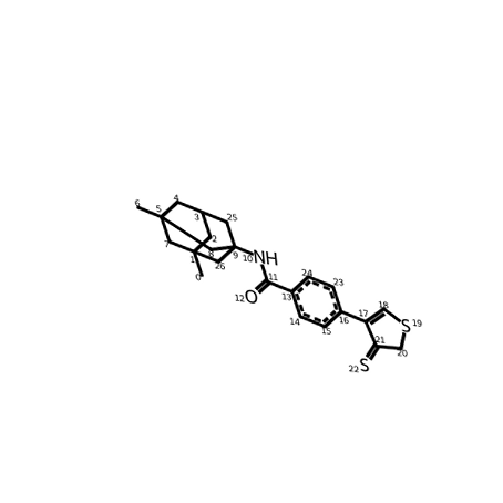 CC12CC3CC(C)(C1)CC(NC(=O)c1ccc(C4=CSCC4=S)cc1)(C3)C2